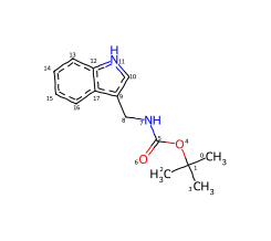 CC(C)(C)OC(=O)NCc1c[nH]c2ccccc12